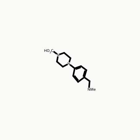 CNCc1ccc(N2CCN(C(=O)O)CC2)cc1